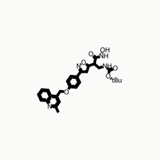 Cc1cc(COc2ccc(C3=NOC(C(CNC(=O)OC(C)(C)C)C(=O)NO)C3)cc2)c2ccccc2n1